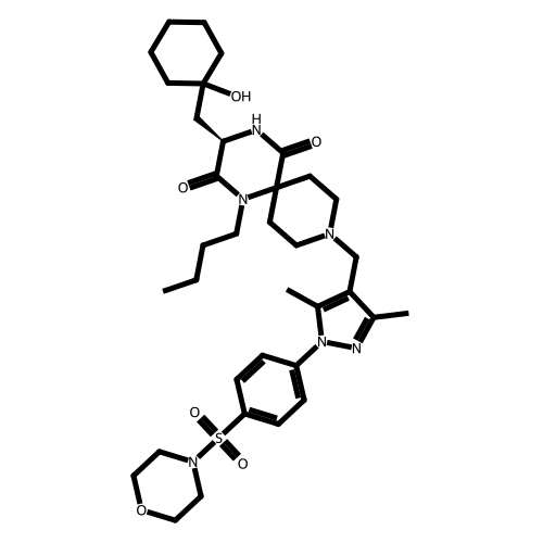 CCCCN1C(=O)[C@@H](CC2(O)CCCCC2)NC(=O)C12CCN(Cc1c(C)nn(-c3ccc(S(=O)(=O)N4CCOCC4)cc3)c1C)CC2